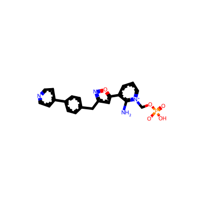 Nc1c(-c2cc(Cc3ccc(-c4ccncc4)cc3)no2)ccc[n+]1COP(=O)([O-])O